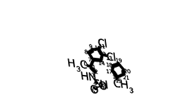 CC(=CN[SH](=O)=O)c1ccc(Cl)c(Cl)c1.Cc1ccccc1